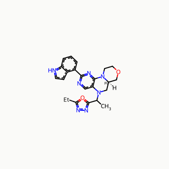 CCc1nnc(C(C)N2C[C@@H]3COCCN3c3nc(-c4cccc5[nH]ccc45)ncc32)o1